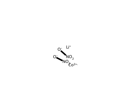 O=[N+]([O-])[O-].O=[N+]([O-])[O-].[Co+2].[Li+]